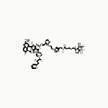 C#Cc1c(F)ccc2cc(O)cc(-c3ncc4c(N5CCN(C(=O)/C(F)=C/c6ccccn6)CC5)nc(OCC5CCCN5CCCn5cc(CNC(=O)CCCCC6SC[C@@H]7NC(=O)N[C@H]67)nn5)nc4c3F)c12